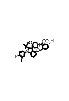 CC1(C)COC2(CCN(CC(=O)O)CC2)c2c1n(-c1ccc(F)c(F)c1)c1cccc(OCc3ccccc3)c21